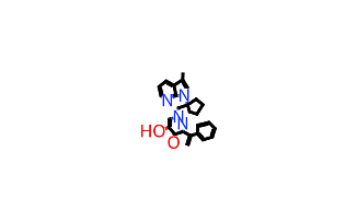 C=C(c1ccccc1)c1nn(CC2(n3cc(C)c4cccnc43)CCCC2)cc(O)c1=O